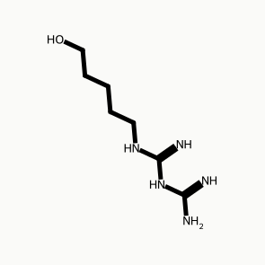 N=C(N)NC(=N)NCCCCCO